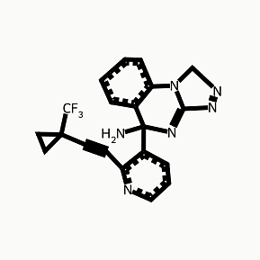 NC1(c2cccnc2C#CC2(C(F)(F)F)CC2)N=C2N=NCN2c2ccccc21